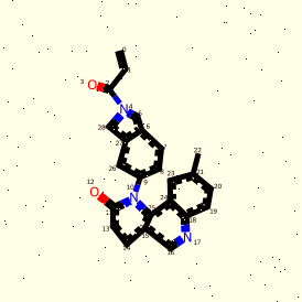 C=CC(=O)n1cc2ccc(-n3c(=O)ccc4cnc5ccc(C)cc5c43)cc2c1